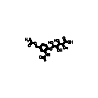 BC(=O)OCc1ccc(O[C@@H](O)C(O)C(O)C(OC)C(=O)O)c(NC(C)=O)c1